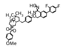 COc1ccc(S(=O)(=O)N(CC(C)C)C[C@H]2OC(C)(C)C[C@H]2Cc2ccc(OCc3ccc(-c4ccc(F)cc4F)cc3/C(N)=N/O)cc2)cc1